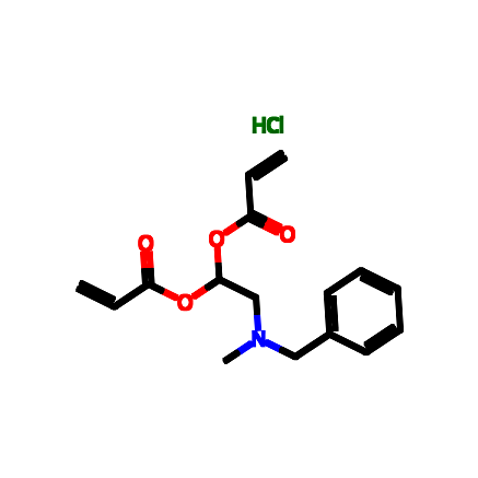 C=CC(=O)OC(CN(C)Cc1ccccc1)OC(=O)C=C.Cl